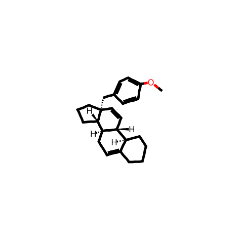 COc1ccc(C[C@]23C=C[C@H]4[C@@H](CC=C5CCCC[C@@H]54)[C@@H]2CCC3)cc1